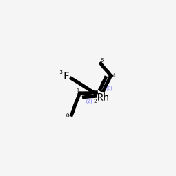 C/[CH]=[Rh](\[F])=[CH]/C